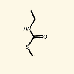 [CH2]SC(=O)NCC